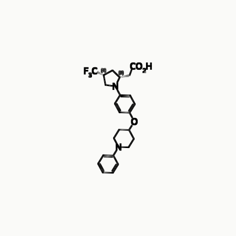 O=C(O)C[C@H]1C[C@@H](C(F)(F)F)CN1c1ccc(OC2CCN(c3ccccc3)CC2)cc1